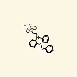 NS(=O)(=O)CCN(c1ccccc1)c1ccccc1N=Nc1ccccc1